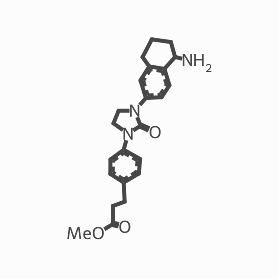 COC(=O)CCc1ccc(N2CCN(c3ccc4c(c3)CCCC4N)C2=O)cc1